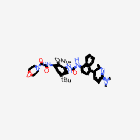 COc1c(NC(=O)Nc2ccc(-c3ccc(N(C)C)nc3C)c3ccccc23)cc(C(C)(C)C)cc1NC(=O)C(=O)N1CCOCC1